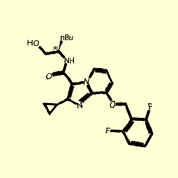 CCCC[C@H](CO)NC(=O)c1c(C2CC2)nc2c(OCc3c(F)cccc3F)cccn12